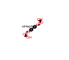 C=C(CO)C(=O)O/C=C\Oc1ccc(-c2ccc(O/C=C\OC(=O)C(=C)CO)cc2CCCCCCC)cc1